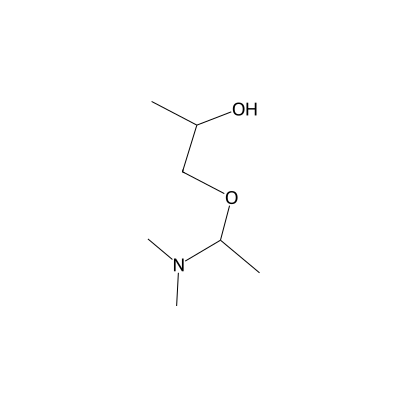 CC(O)COC(C)N(C)C